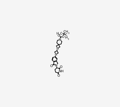 CC(C)(C)OC(=O)N1CCC2(CC1)CN(C1CN(c3ccc4c(c3)CN(C3CCC(=O)NC3=O)C4=O)C1)C2